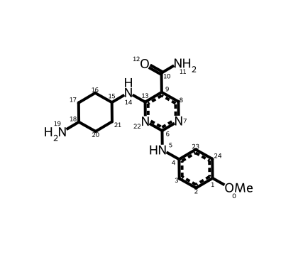 COc1ccc(Nc2ncc(C(N)=O)c(NC3CCC(N)CC3)n2)cc1